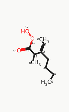 CC=C(CCCC)C(C)C(=O)OO